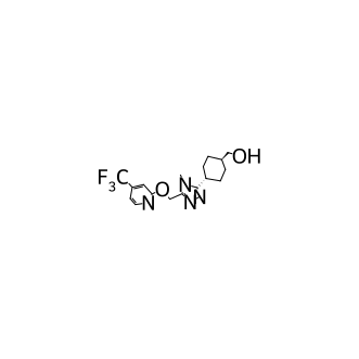 Cn1c(COc2cc(C(F)(F)F)ccn2)nnc1[C@H]1CC[C@H](CO)CC1